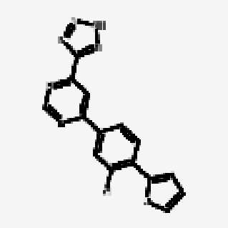 Clc1cc(-c2cc(-c3nn[nH]n3)ncn2)ccc1-c1ccco1